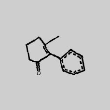 CC1=C(c2ccccc2)C(=O)CCC1